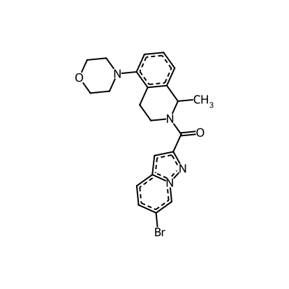 CC1c2cccc(N3CCOCC3)c2CCN1C(=O)c1cc2ccc(Br)cn2n1